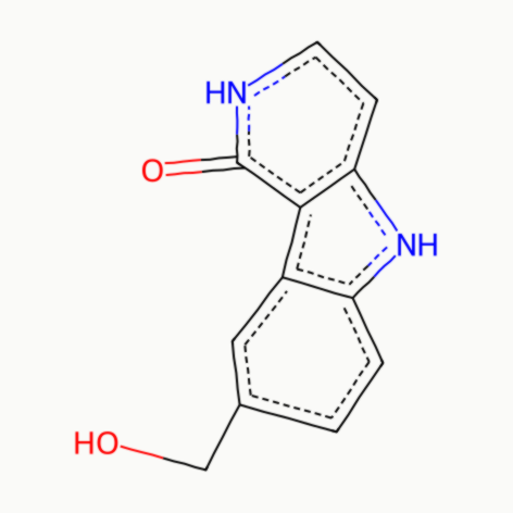 O=c1[nH]ccc2[nH]c3ccc(CO)cc3c12